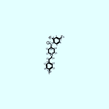 [O-][S+](c1ccc(F)cc1F)C1CCN(CCc2ccc(F)cc2)CC1